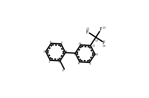 Cc1ccccc1-c1cc[c]c(C(F)(F)F)c1